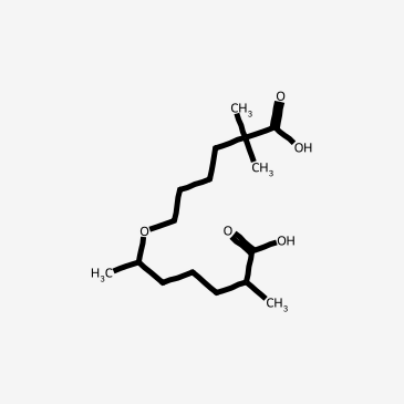 CC(CCCC(C)C(=O)O)OCCCCC(C)(C)C(=O)O